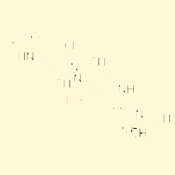 CC[N+](CC)(CC)CC(=O)Nc1cc(C)c(/N=N/c2c(C)cc(NC(C)=O)cc2C)c(C)c1